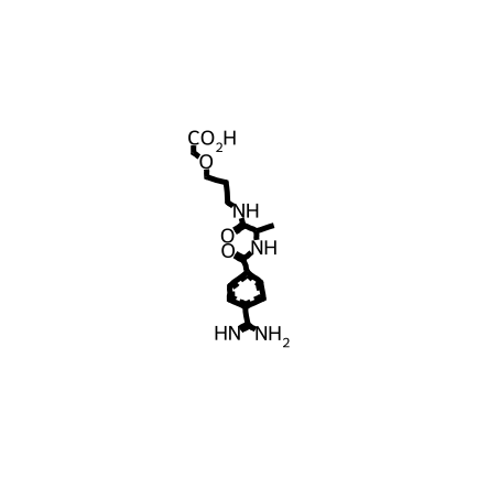 CC(NC(=O)c1ccc(C(=N)N)cc1)C(=O)NCCCOCC(=O)O